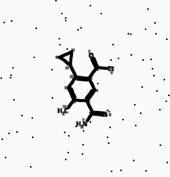 CCC(=O)c1cc(C(N)=S)c(C)cc1C1CC1